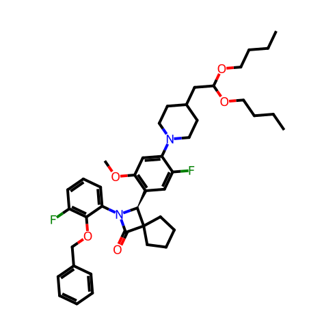 CCCCOC(CC1CCN(c2cc(OC)c([C@@H]3N(c4cccc(F)c4OCc4ccccc4)C(=O)C34CCCC4)cc2F)CC1)OCCCC